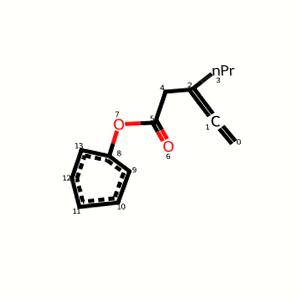 C=C=C(CCC)CC(=O)Oc1ccccc1